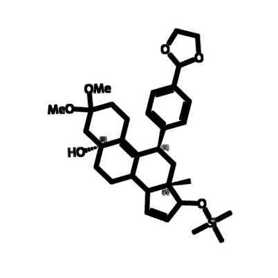 COC1(OC)CCC2=C3C(CC[C@@]2(O)C1)C1C=CC(O[Si](C)(C)C)[C@@]1(C)C[C@@H]3c1ccc(C2OCCO2)cc1